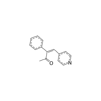 CC(=O)/C(=C\c1ccncc1)c1ccccc1